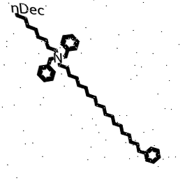 CCCCCCCCCCCCCCCCCC[N+](CCCCCCCCCCCCCCCCCCCc1ccccc1)(Cc1ccccc1)Cc1ccccc1